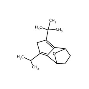 CC(C)C1=C2C(=C(C(C)(C)C)C1)C1CCC2O1